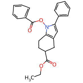 CCOC(=O)C1CCc2c(cc(-c3ccccc3)n2OC(=O)c2ccccc2)C1